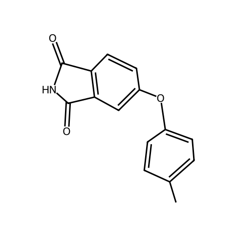 Cc1ccc(Oc2ccc3c(c2)C(=O)NC3=O)cc1